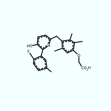 Cc1ccc(F)c(-c2nc(Cc3c(C)cc(OCC(=O)O)c(C)c3C)ccc2O)c1